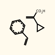 C=C(C(=O)O)C1CC1.C=Cc1ccccc1